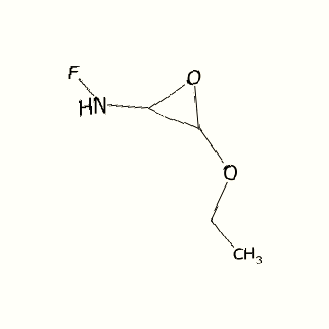 CCOC1OC1NF